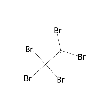 Br[C](Br)C(Br)(Br)Br